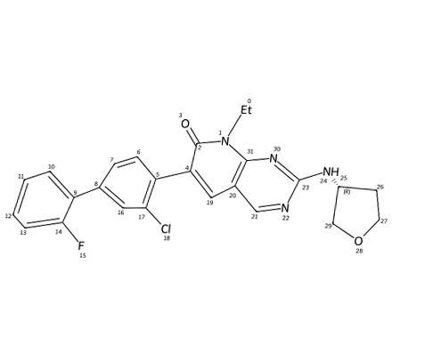 CCn1c(=O)c(-c2ccc(-c3ccccc3F)cc2Cl)cc2cnc(N[C@@H]3CCOC3)nc21